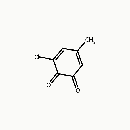 CC1=CC(=O)C(=O)C(Cl)=C1